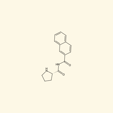 O=C(NC(=O)[C@@H]1CCCN1)c1ccc2ccccc2c1